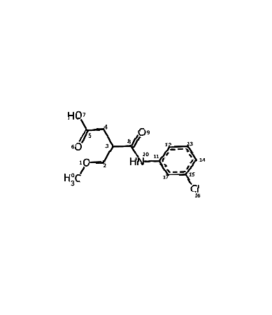 COCC(CC(=O)O)C(=O)Nc1cccc(Cl)c1